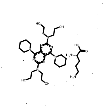 NCCC[C@H](N)C(=O)O.OCCN(CCO)c1nc(N2CCCCC2)c2nc(N(CCO)CCO)nc(N3CCCCC3)c2n1